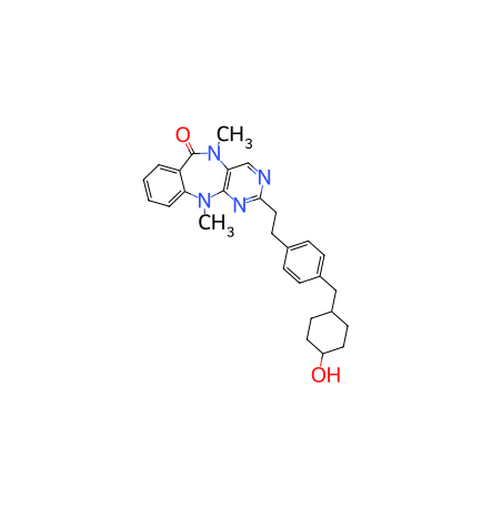 CN1C(=O)c2ccccc2N(C)c2nc(CCc3ccc(CC4CCC(O)CC4)cc3)ncc21